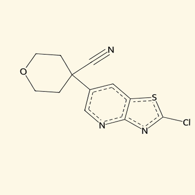 N#CC1(c2cnc3nc(Cl)sc3c2)CCOCC1